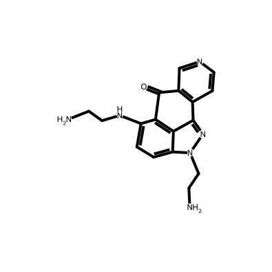 NCCNc1ccc2c3c(nn2CCN)-c2ccncc2C(=O)c13